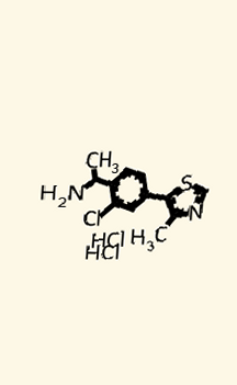 Cc1ncsc1-c1ccc(C(C)N)c(Cl)c1.Cl.Cl